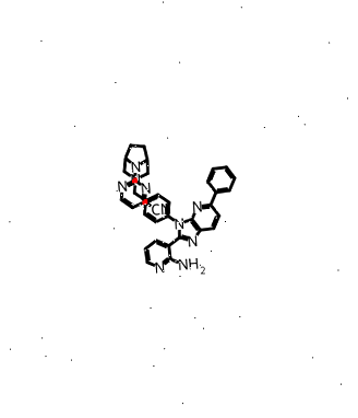 N#Cc1ccnc(N2C3CCC2CN(Cc2ccc(-n4c(-c5cccnc5N)nc5ccc(-c6ccccc6)nc54)cc2)C3)n1